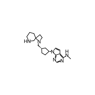 CNc1ncnc2c1ccn2[C@H]1CC[C@@H](CN2CCC23CCCNC3)C1